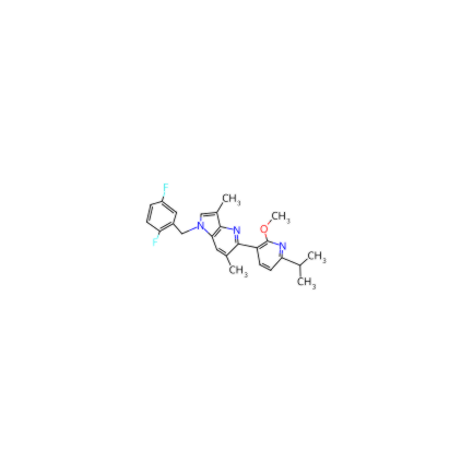 COc1nc(C(C)C)ccc1-c1nc2c(C)cn(Cc3cc(F)ccc3F)c2cc1C